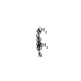 C=CC(=O)OCCCCOc1ccc(C(=O)Oc2ccc(C(=O)Oc3ccc(C(=O)Oc4ccc(-c5ccc(C#N)cc5)cc4)cc3OC)cc2)cc1